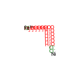 O.O.O.O.O.O.O.O.O.O.O.O.[Cl-].[Cl-].[Cl-].[Fe+3].[Ni]